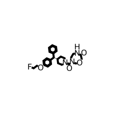 O=C1COCN(C(=O)N2CCC([C@@H](c3ccccc3)c3ccc(OCCF)cc3)CC2)CCN1